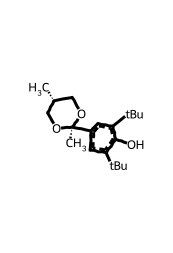 CC(C)(C)c1cc([C@]2(C)OC[C@@H](C)CO2)cc(C(C)(C)C)c1O